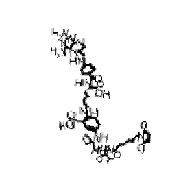 CC(C)[C@H](NC(=O)CCCCCN1C(=O)C=CC1=O)C(=O)N[C@@H](C)C(=O)Nc1ccc(NCCCC[C@H](NC(=O)c2ccc(NCc3cnc4nc(N)nc(N)c4n3)cc2)C(=O)O)c(C(=O)O)c1